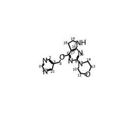 c1ncc(COc2nc(N3CCOCC3)nc3c2CCN3)cn1